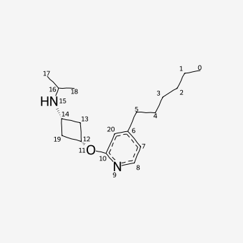 CCCCCCc1ccnc(O[C@H]2C[C@@H](NC(C)C)C2)c1